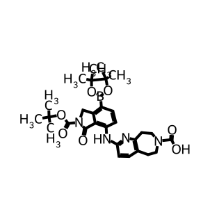 CC(C)(C)OC(=O)N1Cc2c(B3OC(C)(C)C(C)(C)O3)ccc(Nc3ccc4c(n3)CCN(C(=O)O)CC4)c2C1=O